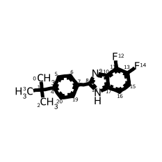 CC(C)(C)c1ccc(-c2nc3c(F)c(F)ccc3[nH]2)cc1